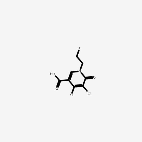 O=C(O)c1cn(CCF)c(=O)c(Cl)c1Cl